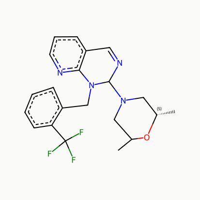 CC1CN(C2N=Cc3cccnc3N2Cc2ccccc2C(F)(F)F)C[C@H](C)O1